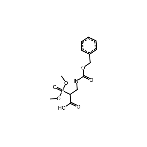 COP(=O)(OC)C(CNC(=O)OCc1ccccc1)C(=O)O